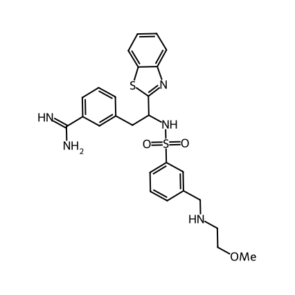 COCCNCc1cccc(S(=O)(=O)NC(Cc2cccc(C(=N)N)c2)c2nc3ccccc3s2)c1